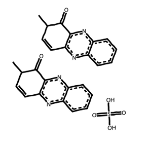 CC1C=Cc2nc3ccccc3nc2C1=O.CC1C=Cc2nc3ccccc3nc2C1=O.O=S(=O)(O)O